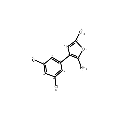 Nc1oc(C(F)(F)F)nc1-c1cc(Cl)cc(Cl)c1